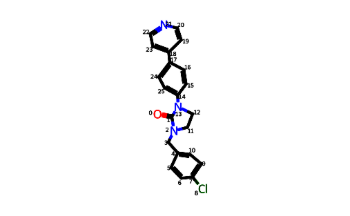 O=C1N(Cc2ccc(Cl)cc2)CCN1c1ccc(-c2ccncc2)cc1